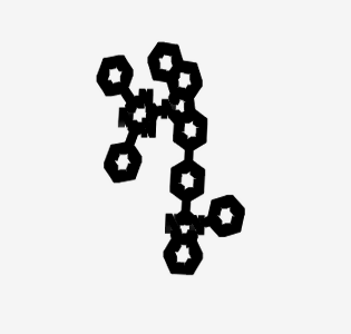 c1ccc(-c2nc(-c3ccccc3)nc(-n3c4cc(-c5ccc(-c6nc7ccccc7n6-c6ccccc6)cc5)ccc4c4ccc5ccccc5c43)n2)cc1